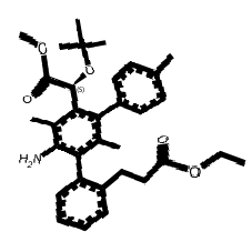 CCOC(=O)CCc1ccccc1-c1c(C)c(-c2ccc(C)cc2)c([C@H](OC(C)(C)C)C(=O)OC)c(C)c1N